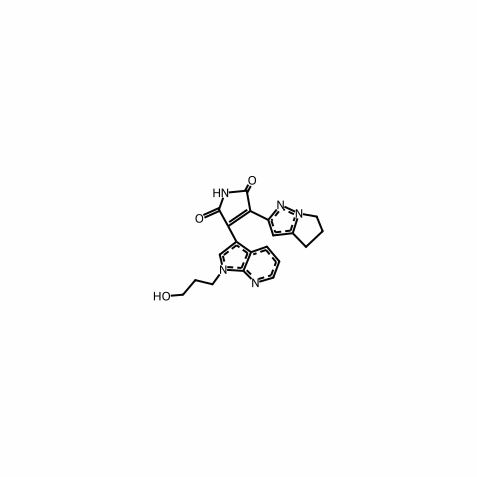 O=C1NC(=O)C(c2cn(CCCO)c3ncccc23)=C1c1cc2n(n1)CCC2